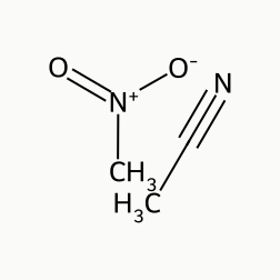 CC#N.C[N+](=O)[O-]